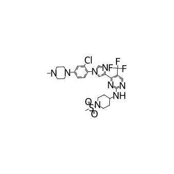 CN1CCN(c2ccc(-n3cnc(-c4nc(NC5CCN(S(C)(=O)=O)CC5)ncc4C(F)(F)F)c3)c(Cl)c2)CC1